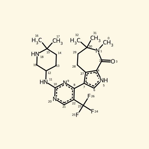 CN1C(=O)c2[nH]cc(-c3nc(NC4CCC(C)(C)NC4)ncc3C(F)(F)F)c2CCC1(C)C